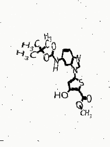 COC(=O)c1sc(-n2cnc3ccc(NC(=O)OC(C)(C)C)cc32)cc1O